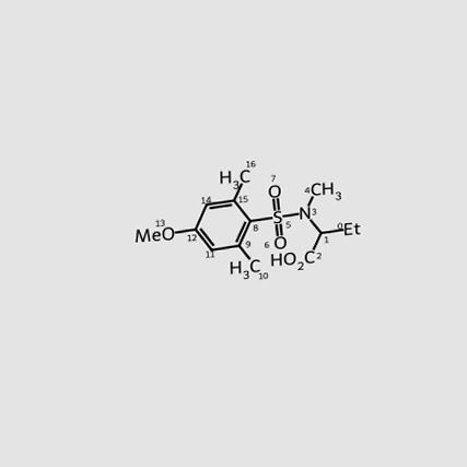 CCC(C(=O)O)N(C)S(=O)(=O)c1c(C)cc(OC)cc1C